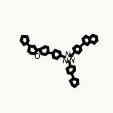 c1ccc(-c2ccc(-c3nc(-c4ccc(-c5ccc6ccccc6c5)cc4)nc(-c4ccc(-c5ccc6c(c5)oc5ccc(-c7ccccc7)cc56)cc4)n3)cc2)cc1